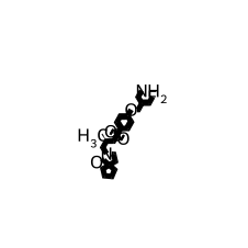 C[C@@H](CN1CCC2(CCCC2)C1=O)CS(=O)(=O)c1ccc(OC/C(=C/F)CN)cc1